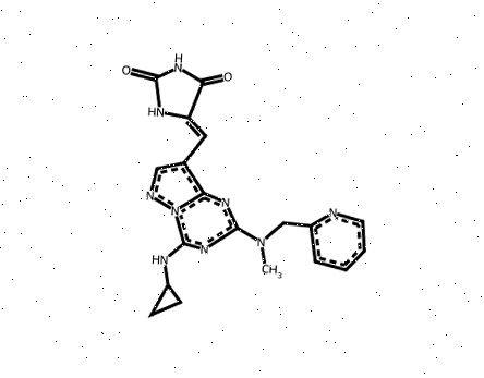 CN(Cc1ccccn1)c1nc(NC2CC2)n2ncc(/C=C3\NC(=O)NC3=O)c2n1